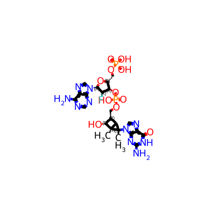 C[C@@]12C([C@H](COP(=O)(O)O[C@H]3[C@@H](F)[C@H](n4cnc5c(N)ncnc54)O[C@@H]3COP(=O)(O)O)[C@H]1O)[C@]2(C)n1cnc2c(=O)[nH]c(N)nc21